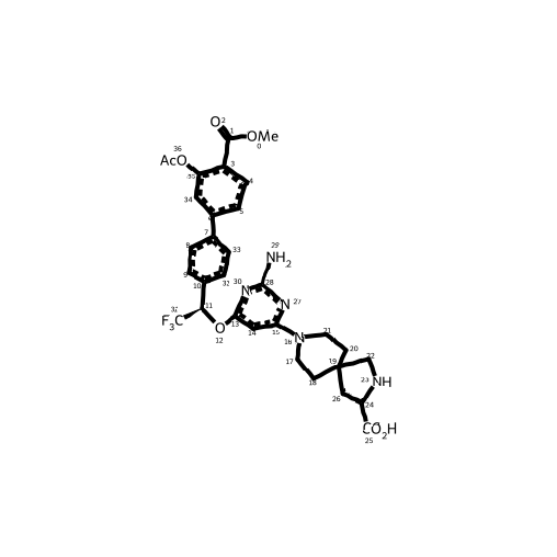 COC(=O)c1ccc(-c2ccc([C@@H](Oc3cc(N4CCC5(CC4)CNC(C(=O)O)C5)nc(N)n3)C(F)(F)F)cc2)cc1OC(C)=O